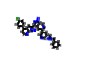 Fc1ccc(-c2ccnc3[nH]c(-c4n[nH]c5cnc(-c6cncc(CNCc7ccccc7)c6)cc45)cc23)cc1